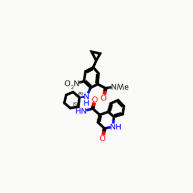 CNC(=O)c1cc(C2CC2)cc([N+](=O)[O-])c1N[C@@H]1CCCC[C@@H]1NC(=O)c1cc(=O)[nH]c2ccccc12